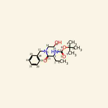 CC[C@H](NC(=O)OC(C)(C)C)C(=O)N(CCO)Cc1ccccc1